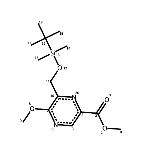 COC(=O)c1cnc(OC)c(CO[Si](C)(C)C(C)(C)C)n1